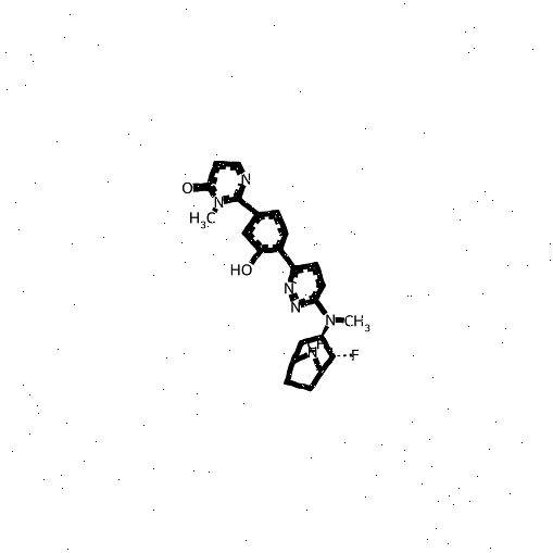 CN1C2CCC1[C@@H](F)[C@H](N(C)c1ccc(-c3ccc(-c4nccc(=O)n4C)cc3O)nn1)C2